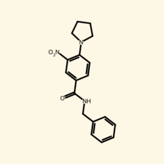 O=C(NCc1ccccc1)c1ccc(N2CCCC2)c([N+](=O)[O-])c1